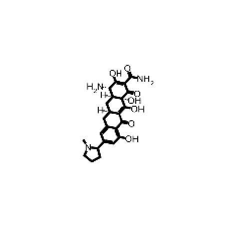 CN1CCCC1c1cc(O)c2c(c1)C[C@H]1C[C@H]3[C@H](N)C(O)=C(C(N)=O)C(=O)[C@@]3(O)C(O)=C1C2=O